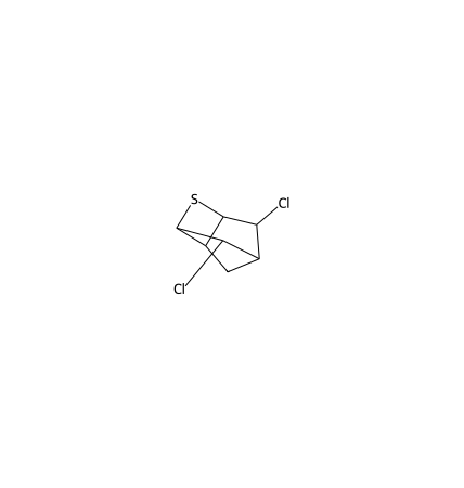 ClC1C2CC3C1SC3C2Cl